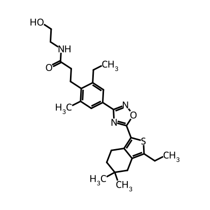 CCc1cc(-c2noc(-c3sc(CC)c4c3CCC(C)(C)C4)n2)cc(C)c1CCC(=O)NCCO